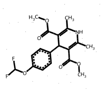 COC(=O)C1=C(C)NC(C)=C(C(=O)OC)C1c1ccc(OC(F)F)cc1